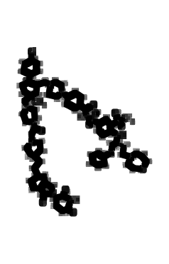 C[C@@]1(CN2CCN(C(=O)CN3CCC(CCc4ccc5c(c4)CN(C4CCC(=O)NC4=O)C5=O)CC3)CC2)CCC(c2ccc(Cl)cc2)=C(CN2CCN(c3ccc(C(=O)NS(=O)(=O)c4ccc(N[C@H](CCN5CCCOCC5)CSc5ccccc5)c(S(=O)(=O)C(F)(F)F)c4)cc3)CC2)C1